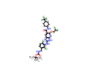 CC(C)(C)OC(=O)NCc1ccc(Cl)c(Nc2nc3cc(C(=O)NC4CCC(C(F)(F)F)CC4)c(OCC(F)F)nc3[nH]2)c1Cl